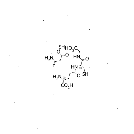 C=C(N)CC(=O)OS.N[C@@H](CCC(=O)N[C@@H](CS)C(=O)NCC(=O)O)C(=O)O